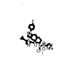 Cn1ncc(S(=O)(=O)N(CC(F)(F)F)[C@H]2CCC3=Cc4c(cnn4-c4ccc(F)cc4)C[C@]3(C(=O)c3ncc(C4CC4)s3)C2)n1